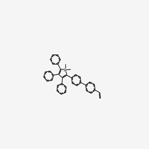 C=Cc1ccc(-c2ccc(C3=C(c4ccccc4)C(c4ccccc4)=C(c4ccccc4)[Si]3(C)C)cc2)cc1